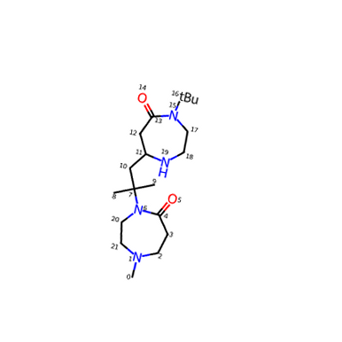 CN1CCC(=O)N(C(C)(C)CC2CC(=O)N(C(C)(C)C)CCN2)CC1